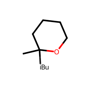 CCC(C)C1(C)CCCCO1